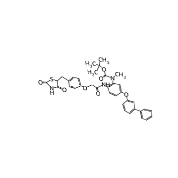 CN(C(=O)OC(C)(C)C)c1cc(Oc2cccc(-c3ccccc3)c2)ccc1NC(=O)COc1ccc(CC2SC(=O)NC2=O)cc1